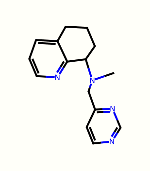 CN(Cc1ccncn1)C1CCCc2cccnc21